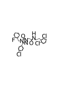 O=C(Cn1nc(-c2ccc(Cl)cc2)n(Cc2ccccc2F)c1=O)NCCc1c(Cl)cccc1Cl